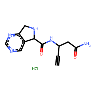 C#CC(CC(N)=O)NC(=O)C1NCc2ncncc21.Cl